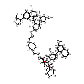 Cc1ncsc1-c1ccc([C@H](C)NC(=O)[C@@H]2C[C@@H](O)CN2C(=O)[C@@H](NC(=O)COCC2CCN(CCOc3nc(N4CC5CCC(C4)N5C(=O)OC(C)(C)C)c4cnc(-c5cc(O)cc6ccccc56)c(F)c4n3)CC2)C(C)(C)C)cc1